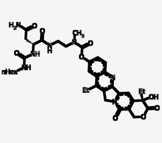 CCCCCCNC(=O)N[C@H](CC(N)=O)C(=O)NCCN(C)C(=O)Oc1ccc2nc3c(c(CC)c2c1)Cn1c-3cc2c(c1=O)COC(=O)[C@]2(O)CC